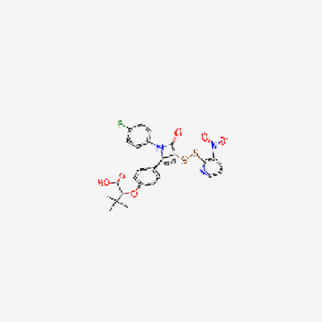 CC(C)(C)C(Oc1ccc([C@@H]2[C@@H](SSc3ncccc3[N+](=O)[O-])C(=O)N2c2ccc(F)cc2)cc1)C(=O)O